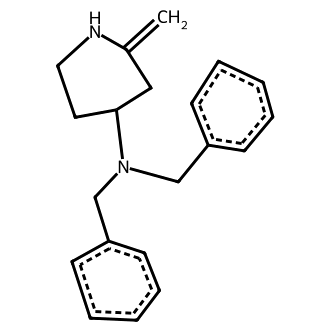 C=C1CC(N(Cc2ccccc2)Cc2ccccc2)CCN1